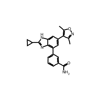 Cc1noc(C)c1-c1cc(-c2cccc(C(N)=O)c2)c2nc(C3CC3)[nH]c2c1